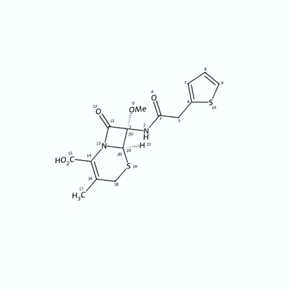 CO[C@@]1(NC(=O)Cc2cccs2)C(=O)N2C(C(=O)O)=C(C)CS[C@@H]21